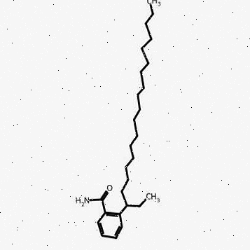 CCCCCCCCCCCCCCCCCC(CC)c1ccc[c]c1C(N)=O